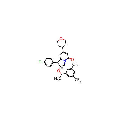 CC(O[C@H]1CN2C(=O)C=C(C3CCOCC3)CC2C1c1ccc(F)cc1)c1cc(C(F)(F)F)cc(C(F)(F)F)c1